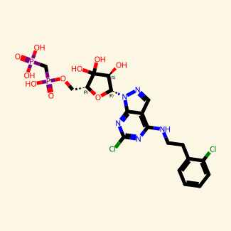 O=P(O)(O)CP(=O)(O)OC[C@H]1O[C@@H](n2ncc3c(NCCc4ccccc4Cl)nc(Cl)nc32)[C@H](O)C1(O)O